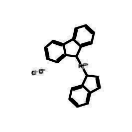 C1=C[CH]([Hf+2][CH]2c3ccccc3-c3ccccc32)c2ccccc21.[Cl-].[Cl-]